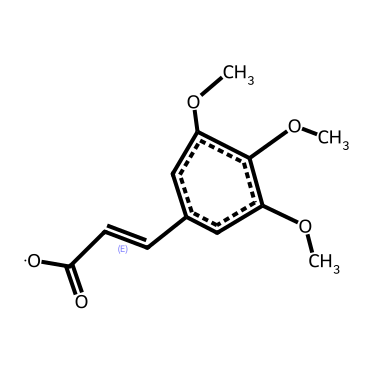 COc1cc(/C=C/C([O])=O)cc(OC)c1OC